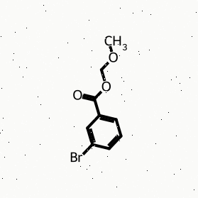 COCOC(=O)c1cccc(Br)c1